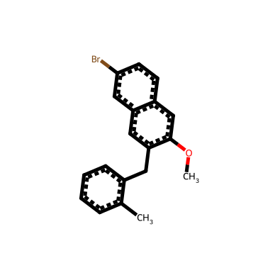 COc1cc2ccc(Br)cc2cc1Cc1ccccc1C